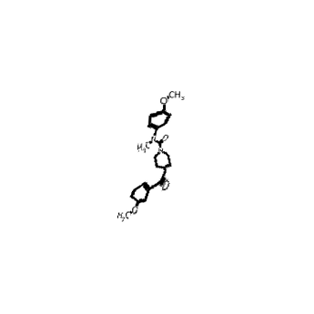 COc1ccc(N(C)C(=O)N2CCC(C(=O)c3cccc(OC)c3)CC2)cc1